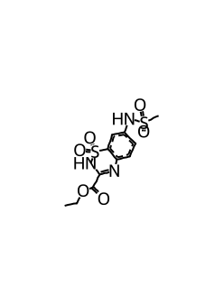 CCOC(=O)C1=Nc2ccc(NS(C)(=O)=O)cc2S(=O)(=O)N1